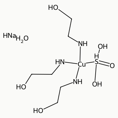 O.O=[SH](O)(O)[Cu]([NH]CCO)([NH]CCO)[NH]CCO.[NaH]